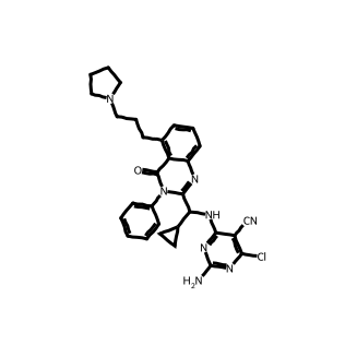 N#Cc1c(Cl)nc(N)nc1NC(c1nc2cccc(CCCN3CCCC3)c2c(=O)n1-c1ccccc1)C1CC1